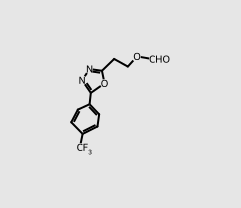 O=COCCc1nnc(-c2ccc(C(F)(F)F)cc2)o1